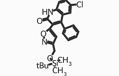 CC(C)(C)[Si](C)(C)OCc1cc(-c2c(-c3ccccc3)c3cc(Cl)ccc3[nH]c2=O)on1